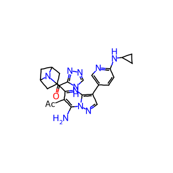 CC(=O)c1c(C2CC3CC(C2)N3C(=O)c2nnc[nH]2)nc2c(-c3ccc(NC4CC4)nc3)cnn2c1N